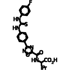 CC(C)C(NC(=O)c1nc(-c2ccc(NC(=S)Nc3ccc(F)cc3)cc2)no1)C(=O)O